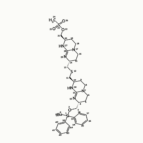 CC(C)(C)[Si](OC[C@H]1CCN2CC[C@H](CSC[C@H]3CCN4CC[C@H](COS(C)(=O)=O)NC4=N3)NC2=N1)(c1ccccc1)c1ccccc1